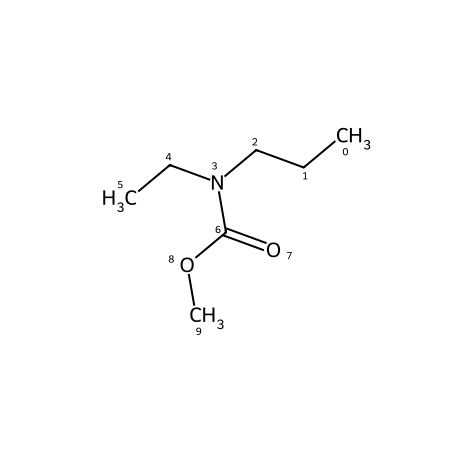 CCCN(CC)C(=O)OC